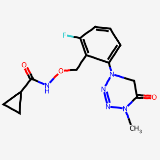 CN1N=NN(c2cccc(F)c2CONC(=O)C2CC2)CC1=O